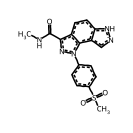 CNC(=O)c1nn(-c2ccc(S(C)(=O)=O)cc2)c2c1ccc1[nH]ncc12